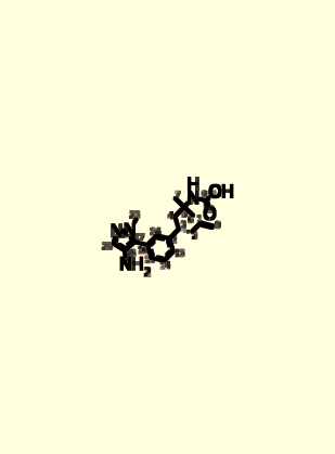 C=CC[C@@H](CC(C)(C)NC(=O)O)c1cccc(-c2c(N)cnn2C)c1